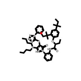 CCCCN(CCCC)c1[nH]n(-c2ccccc2NC(=O)C(CC)Oc2ccc(C(C)(C)CC)cc2C(C)(C)CC)c(=O)c1Sc1nnnn1-c1ccccc1